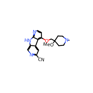 COC1(COc2ccnc3[nH]c4cnc(C#N)cc4c23)CCN(C)CC1